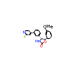 COc1cccc([C@H]2OC(=O)N[C@@H]2c2cccc(-c3ccnc(F)c3)c2)c1